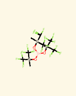 C[Si](OB(O[Si](C)(C(F)(F)F)C(F)(F)F)O[Si](C)(C(F)(F)F)C(F)(F)F)(C(F)(F)F)C(F)(F)F